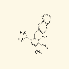 Cc1nc(C(C)C)c(Cc2ccc3ccccc3c2)c(O)c1C